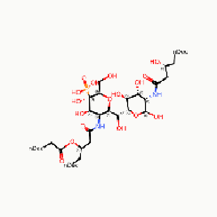 CCCCCCCCCCCC(=O)O[C@H](CCCCCCCCCCC)CC(=O)N[C@H]1[C@@H](O)[C@@](O)(P(=O)(O)O)[C@@H](CO)O[C@H]1C(O)[C@H]1O[C@H](O)[C@@H](NC(=O)C[C@H](O)CCCCCCCCCCC)[C@@H](O)[C@@H]1O